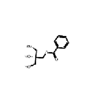 CC[C@H](C)C[C@](O)(CO)COC(=O)c1ccccc1